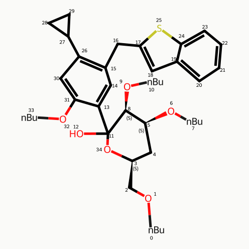 CCCCOC[C@@H]1C[C@H](OCCCC)[C@H](OCCCC)C(O)(c2cc(Cc3cc4ccccc4s3)c(C3CC3)cc2OCCCC)O1